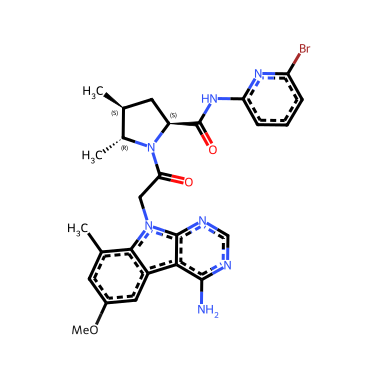 COc1cc(C)c2c(c1)c1c(N)ncnc1n2CC(=O)N1[C@H](C)[C@@H](C)C[C@H]1C(=O)Nc1cccc(Br)n1